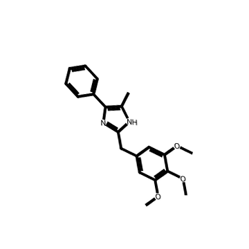 COc1cc(Cc2nc(-c3ccccc3)c(C)[nH]2)cc(OC)c1OC